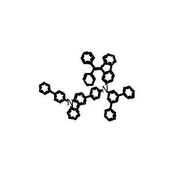 C1=CC(/C(=C2/c3ccccc3-c3ccc(N(c4ccc(-c5ccc6c(c5)c5ccccc5n6-c5ccc(-c6ccccc6)cc5)cc4)c4cc(-c5ccccc5)cc(-c5ccccc5)c4)cc32)c2ccccc2)=CCC1